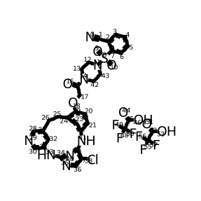 N#Cc1ccccc1S(=O)(=O)N1CCN(C(=O)COc2ccc3cc2CCc2cncc(c2)Nc2ncc(Cl)c(n2)N3)CC1.O=C(O)C(F)(F)F.O=C(O)C(F)(F)F